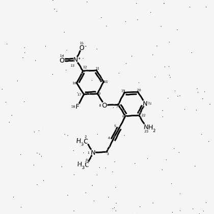 CN(C)CC#Cc1c(Oc2ccc([N+](=O)[O-])cc2F)ccnc1N